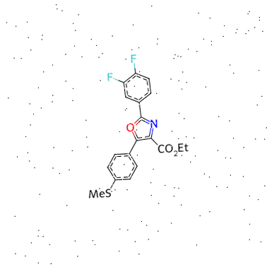 CCOC(=O)c1nc(-c2ccc(F)c(F)c2)oc1-c1ccc(SC)cc1